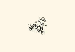 C[C@H]1COC[C@H](C)N1c1cc(CS(C)(=O)=O)nc(Cl)n1